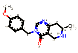 COc1ccc(Cn2cnc3c(c2=O)CN[C@H](C)C3)cc1